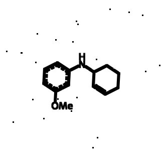 COc1cccc(NC2C=CCCC2)c1